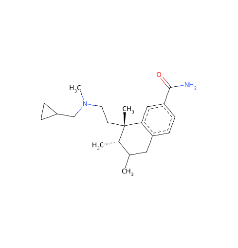 CC1Cc2ccc(C(N)=O)cc2[C@@](C)(CCN(C)CC2CC2)[C@H]1C